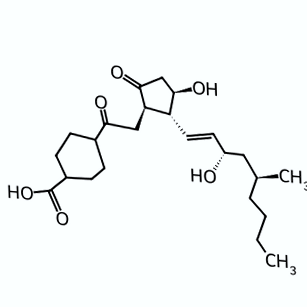 CCCC[C@H](C)C[C@H](O)/C=C/[C@H]1[C@H](O)CC(=O)[C@@H]1CC(=O)C1CCC(C(=O)O)CC1